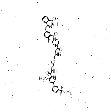 CC(F)(F)c1cccc(-c2cnc(C(=O)NCCOCCNCC(=O)N3CCN(C(=O)c4cc(Cc5n[nH]c(=O)c6ccccc56)ccc4F)CC3)c(N)c2)c1